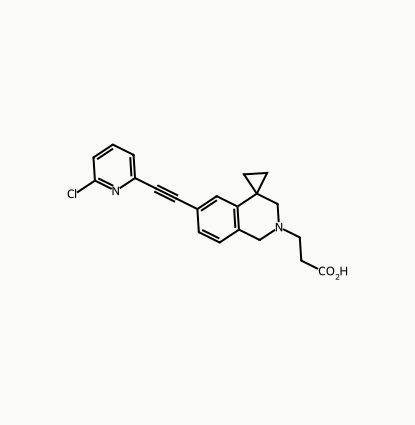 O=C(O)CCN1Cc2ccc(C#Cc3cccc(Cl)n3)cc2C2(CC2)C1